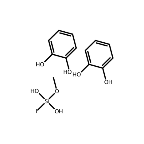 CO[Si](O)(O)I.Oc1ccccc1O.Oc1ccccc1O